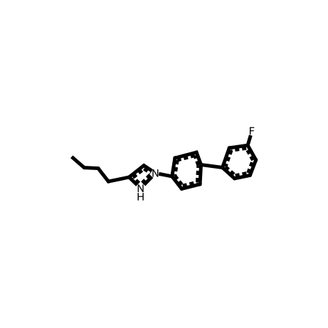 CCCCc1cn(-c2ccc(-c3cccc(F)c3)cc2)[nH]1